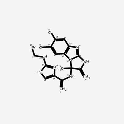 C=C(NC1(C(F)(F)F)C(=C)Nc2nc3cc(Cl)c(Cl)cc3n21)c1csc(NCC(C)C)n1